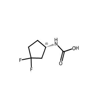 O=C(O)N[C@H]1CCC(F)(F)C1